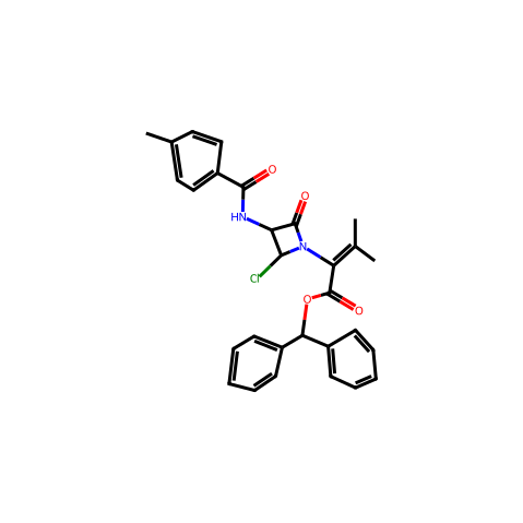 CC(C)=C(C(=O)OC(c1ccccc1)c1ccccc1)N1C(=O)C(NC(=O)c2ccc(C)cc2)C1Cl